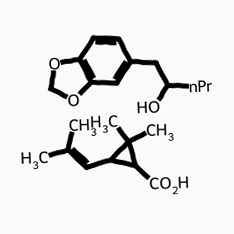 CC(C)=CC1C(C(=O)O)C1(C)C.CCCC(O)Cc1ccc2c(c1)OCO2